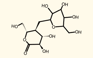 O=C1O[C@H](CO)[C@@H](CC2OC(CO)C(O)C(O)C2O)[C@H](O)[C@H]1O